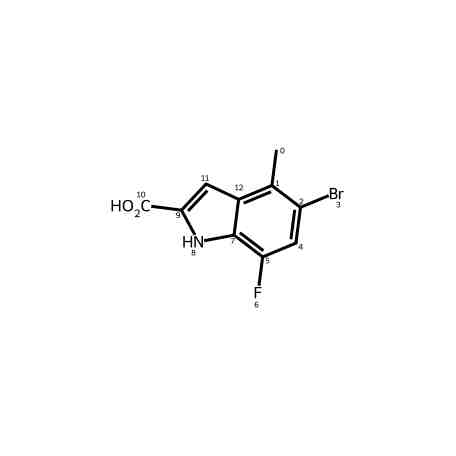 Cc1c(Br)cc(F)c2[nH]c(C(=O)O)cc12